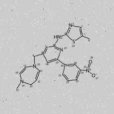 Cc1cnc(Nc2cc(CN3C=CCN(C)C=C3)cc(-c3cccc([N+](=O)[O-])c3)n2)s1